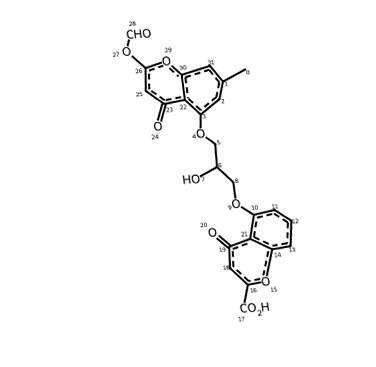 Cc1cc(OCC(O)COc2cccc3oc(C(=O)O)cc(=O)c23)c2c(=O)cc(OC=O)oc2c1